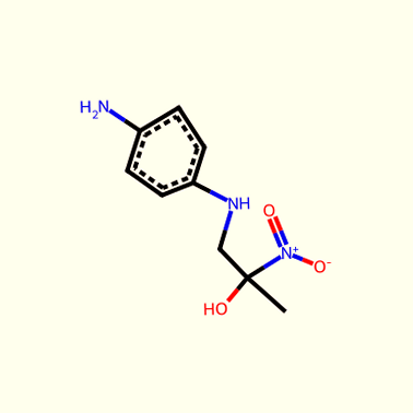 CC(O)(CNc1ccc(N)cc1)[N+](=O)[O-]